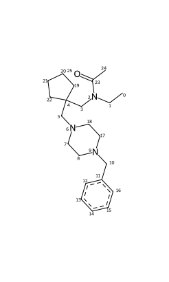 CCN(CC1(CN2CCN(Cc3ccccc3)CC2)CCCC1)C(C)=O